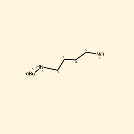 CCCCNCCCCN=O